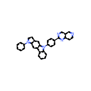 c1ccc(-n2ccc3cc4c(cc32)c2ccccc2n4-c2ccc(-c3ncc4cnccc4n3)cc2)cc1